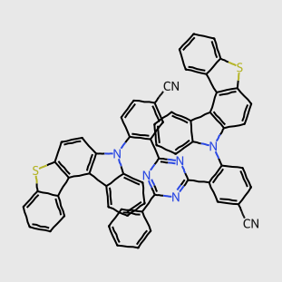 N#Cc1ccc(-n2c3ccccc3c3c4c(ccc32)sc2ccccc24)c(-c2nc(-c3ccccc3)nc(-c3cc(C#N)ccc3-n3c4ccccc4c4c5c(ccc43)sc3ccccc35)n2)c1